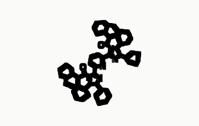 O=C(c1cccc2ccccc12)N1C(c2cccc(C3=NC(c4ccccc4)C(c4ccccc4)N3C(=O)c3cccc4ccccc34)n2)=NC(c2ccccc2)C1c1ccccc1